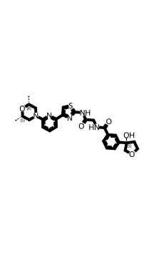 C[C@@H]1CN(c2cccc(-c3csc(NC(=O)CNC(=O)c4cccc([C@@]5(O)CCOC5)c4)n3)n2)C[C@H](C)O1